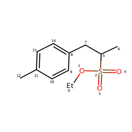 CCOS(=O)(=O)C(C)Cc1ccc(C)cc1